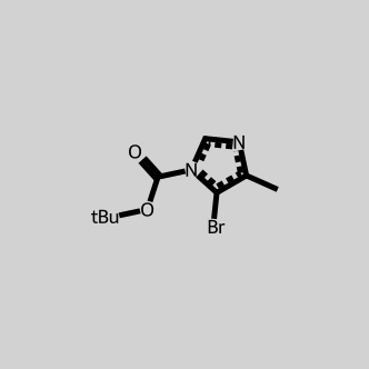 Cc1ncn(C(=O)OC(C)(C)C)c1Br